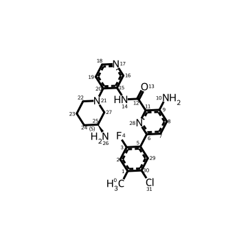 Cc1cc(F)c(-c2ccc(N)c(C(=O)Nc3cnccc3N3CCC[C@H](N)C3)n2)cc1Cl